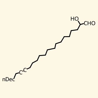 CCCCCCCCCCCCCCCCCCCCCCCCCCC(O)C=O